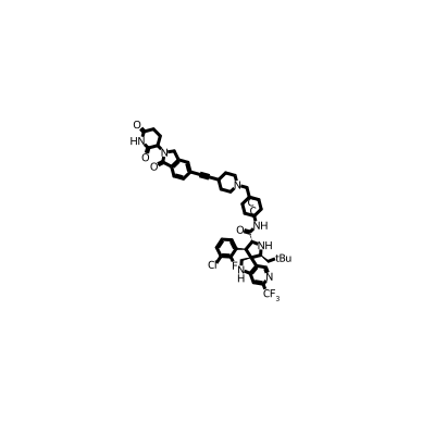 CC(C)(C)C[C@@H]1N[C@@H](C(=O)NC23CCC(CN4CCC(C#Cc5ccc6c(c5)CN(C5CCC(=O)NC5=O)C6=O)CC4)(CC2)CC3)[C@H](c2cccc(Cl)c2F)[C@]12CNc1cc(C(F)(F)F)ncc12